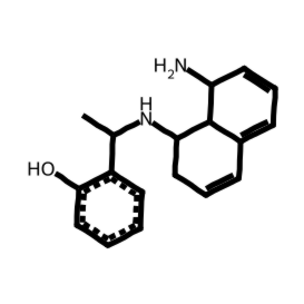 CC(NC1CC=CC2=CC=CC(N)C21)c1ccccc1O